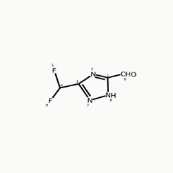 O=Cc1nc(C(F)F)n[nH]1